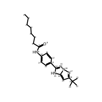 CCCCCCCC(=O)Nc1ccc(-c2nn3nc(C(C)(C)C)cc3[nH]2)cc1